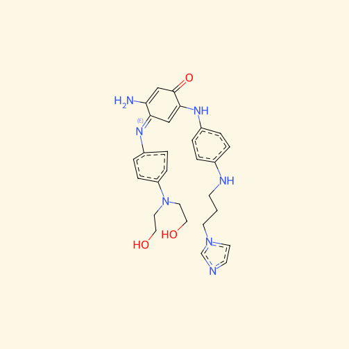 NC1=CC(=O)C(Nc2ccc(NCCCn3ccnc3)cc2)=C/C1=N\c1ccc(N(CCO)CCO)cc1